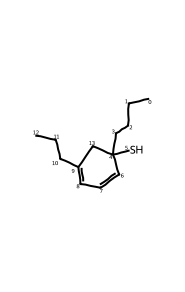 CCCCC1(S)C=CC=C(CCC)C1